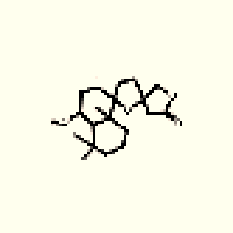 CC(=O)OC1C[C@H](C)C2(CCC3(COC(=O)C3)O2)C2(C)CCCC(C)(C)C12